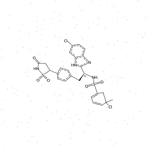 CC1(Cl)C=CC=C(S(=O)(=O)N[C@@H](Cc2ccc(C3CC(=O)NS3(=O)=O)cc2)c2nc3ccc(Cl)cc3[nH]2)C1